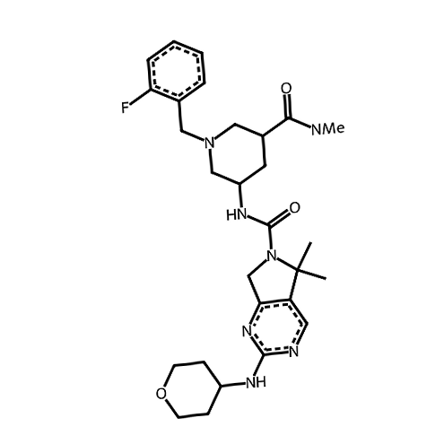 CNC(=O)C1CC(NC(=O)N2Cc3nc(NC4CCOCC4)ncc3C2(C)C)CN(Cc2ccccc2F)C1